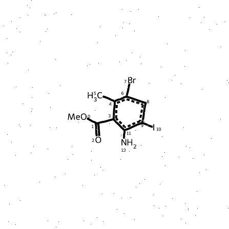 COC(=O)c1c(C)c(Br)cc(I)c1N